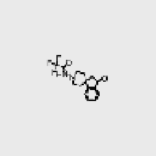 O=C1CC2(CCN(NC(=O)C(F)(F)F)CC2)c2ccccc21